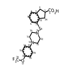 O=C(O)C1Cc2cccc(SN3CCN(c4ccc(OC(F)(F)F)cc4)CC3)c2C1